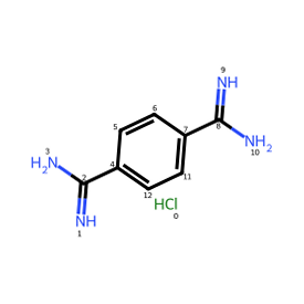 Cl.N=C(N)c1ccc(C(=N)N)cc1